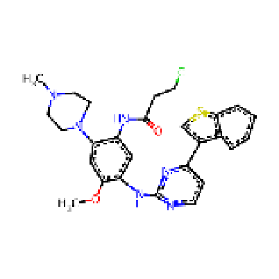 COc1cc(N2CCN(C)CC2)c(NC(=O)CCCl)cc1Nc1nccc(-c2csc3ccccc23)n1